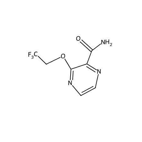 NC(=O)c1nccnc1OCC(F)(F)F